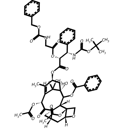 CC(=O)O[C@H]1C(=O)[C@]23C[C@H]2C[C@H]2OC[C@@]2(OC(C)=O)[C@H]3C(OC(=O)c2ccccc2)[C@]2(O)C[C@H](OC(=O)[C@H](OC(=O)CNC(=O)OCc3ccccc3)[C@@H](NC(=O)OC(C)(C)C)c3ccccc3)C(C)=C1C2(C)C